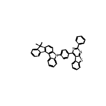 CC1(C)c2ccccc2-c2c1ccc1c2c2ccccc2n1-c1ccc(-c2nc(-c3ccccc3)nc3sc4ccccc4c23)cc1